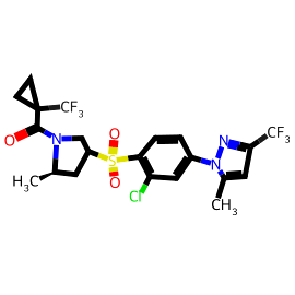 Cc1cc(C(F)(F)F)nn1-c1ccc(S(=O)(=O)C2C[C@@H](C)N(C(=O)C3(C(F)(F)F)CC3)C2)c(Cl)c1